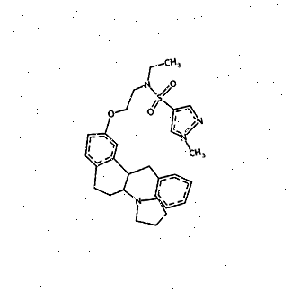 CCN(CCOc1ccc2c(c1)C(Cc1ccccc1)C(N1CCCC1)CC2)S(=O)(=O)c1cnn(C)c1